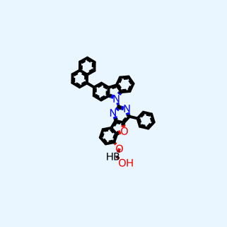 OBOc1cccc2c1oc1c(-c3ccccc3)nc(-n3c4ccccc4c4cc(-c5cccc6ccccc56)ccc43)nc12